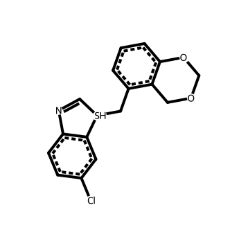 Clc1ccc2c(c1)[SH](Cc1cccc3c1COCO3)C=N2